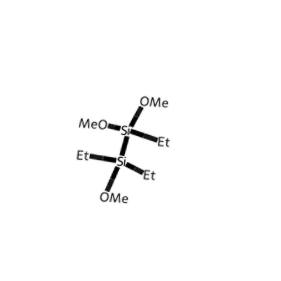 CC[Si](CC)(OC)[Si](CC)(OC)OC